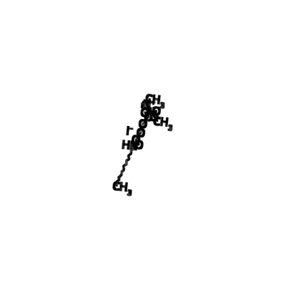 CCCCCCCCCCCCCCCNC(=O)OCCOCCOCCOC(=O)N(Cc1cccc[n+]1CC)C(=O)OCC.[I-]